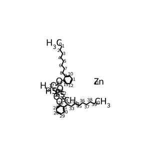 CCCCCCCCCc1ccccc1OC(C)OP(=O)(S)SC(C)Oc1ccccc1CCCCCCCCC.[Zn]